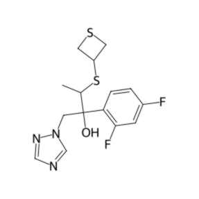 CC(SC1CSC1)C(O)(Cn1cncn1)c1ccc(F)cc1F